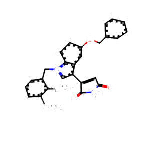 COc1cccc(Cn2cc(C3=CC(=O)NC3=O)c3cc(OCc4ccccc4)ccc32)c1OC